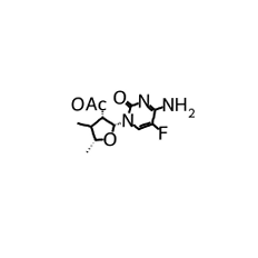 CC(=O)O[C@H]1C(C)[C@@H](C)O[C@H]1n1cc(F)c(N)nc1=O